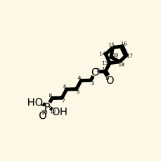 O=C(OCCCCCCP(=O)(O)O)C1CC2C=CC1C2